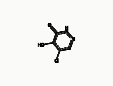 O=c1[nH]ncc(Cl)c1O